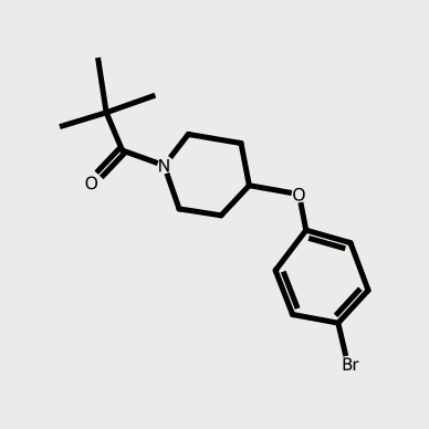 CC(C)(C)C(=O)N1CCC(Oc2ccc(Br)cc2)CC1